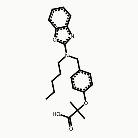 CCCCCN(Cc1ccc(OC(C)(C)C(=O)O)cc1)c1nc2ccccc2o1